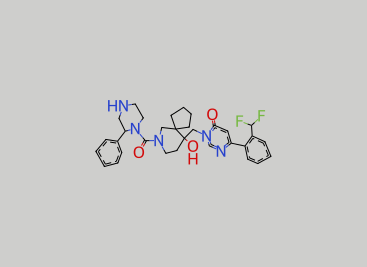 O=C(N1CCC(O)(Cn2cnc(-c3ccccc3C(F)F)cc2=O)C2(CCCC2)C1)N1CCNCC1c1ccccc1